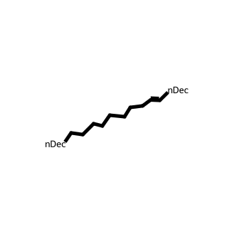 [CH2]CCCCCCCCC/C=C/CCCCCCCCCCCCCCCCC[CH2]